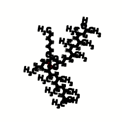 CCCCCCOC(CCCC(C)CC(C)CC(C)CC(C)CC(C)O)OC(CCCC(C)CC(C)CC(C)CC(C)CC(C)O)OCCCCCC